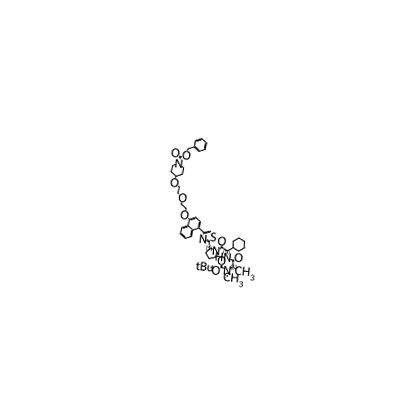 C[C@@H](C(=O)N[C@H](C(=O)N1CCC[C@H]1c1nc(-c2ccc(OCCOCCOC3CCN(C(=O)OCc4ccccc4)CC3)c3ccccc23)cs1)C1CCCCC1)N(C)C(=O)OC(C)(C)C